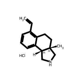 C=Cc1cccc2c1CC[C@]1(C)CNC[C@H]21.Cl